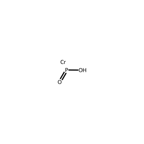 O=PO.[Cr]